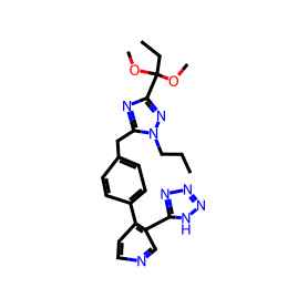 CCCn1nc(C(CC)(OC)OC)nc1Cc1ccc(-c2ccncc2-c2nnn[nH]2)cc1